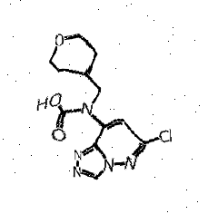 O=C(O)N(CC1CCOCC1)c1cc(Cl)nn2cnnc12